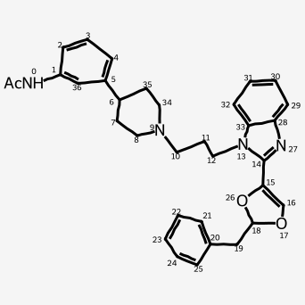 CC(=O)Nc1cccc(C2CCN(CCCn3c(C4=COC(Cc5ccccc5)O4)nc4ccccc43)CC2)c1